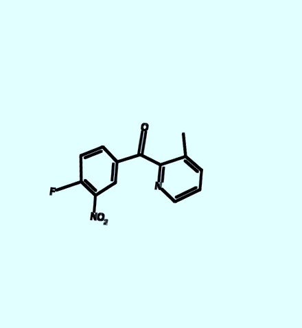 Cc1cccnc1C(=O)c1ccc(F)c([N+](=O)[O-])c1